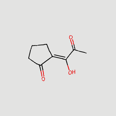 CC(=O)/C(O)=C1\CCCC1=O